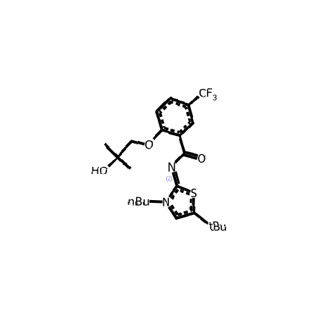 CCCCn1cc(C(C)(C)C)s/c1=N\C(=O)c1cc(C(F)(F)F)ccc1OCC(C)(C)O